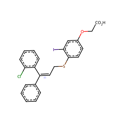 O=C(O)COc1ccc(SC/C=C(/c2ccccc2)c2ccccc2Cl)c(I)c1